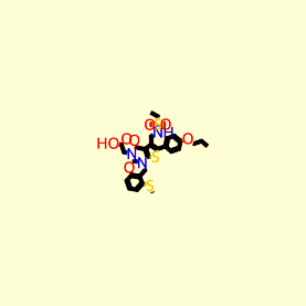 CCCOc1ccc(-c2sc3c(c2CNS(=O)(=O)CC)c(=O)n(CC(=O)O)c(=O)n3Cc2ccccc2SC)cc1